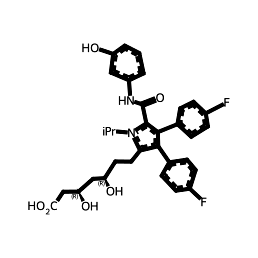 CC(C)n1c(CC[C@@H](O)C[C@@H](O)CC(=O)O)c(-c2ccc(F)cc2)c(-c2ccc(F)cc2)c1C(=O)Nc1cccc(O)c1